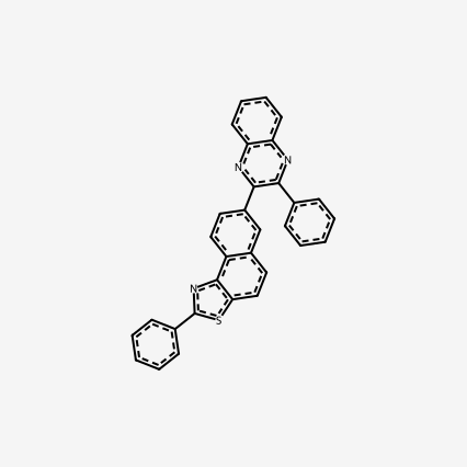 c1ccc(-c2nc3c(ccc4cc(-c5nc6ccccc6nc5-c5ccccc5)ccc43)s2)cc1